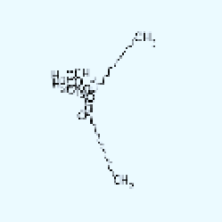 CCCCCCCCCCCCCCCC(=O)OCC(C=NC(=O)OC(C)(C)C)OC(=O)CCCCCCCCCCCCCCC